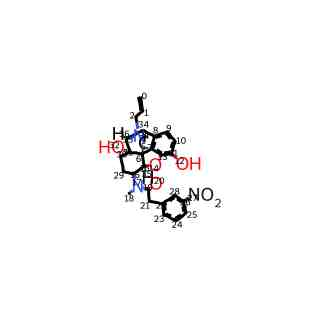 C=CCN1CC[C@]23c4c5ccc(O)c4O[C@H]2[C@@H](N(C)C(=O)Cc2cccc([N+](=O)[O-])c2)CC[C@@]3(O)[C@H]1C5